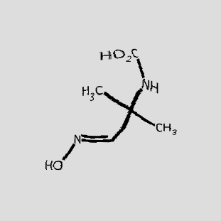 CC(C)(C=NO)NC(=O)O